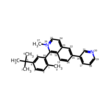 Cc1ccc(C(C)(C)C)cc1-c1c2ccc(-c3cccnc3)cc2cc[n+]1C